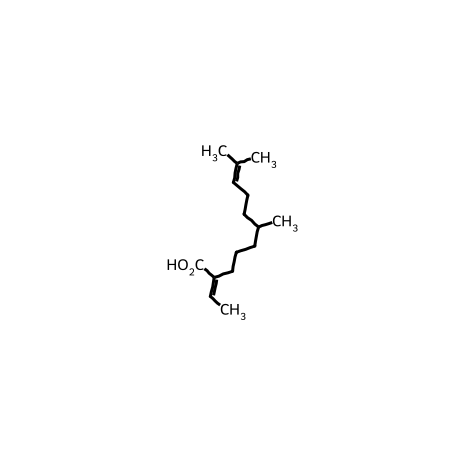 C/C=C(\CCCC(C)CCC=C(C)C)C(=O)O